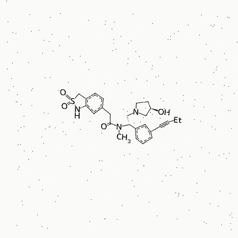 CCC#Cc1cccc([C@@H](CN2CC[C@@H](O)C2)N(C)C(=O)Cc2ccc3c(c2)NS(=O)(=O)C3)c1